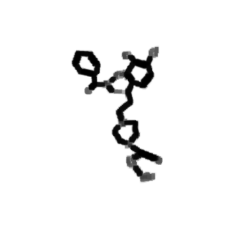 CN(C[C@@H](CCN1CCN(C(=O)OC(C)(C)C)CC1)c1ccc(Cl)c(Cl)c1)C(=O)c1ccccc1